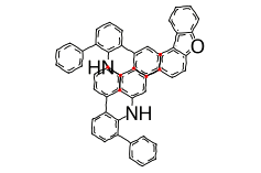 c1ccc(-c2cccc(-c3ccccc3)c2Nc2cc(Nc3c(-c4ccccc4)cccc3-c3ccccc3)cc(-c3ccc4oc5ccccc5c4c3)c2)cc1